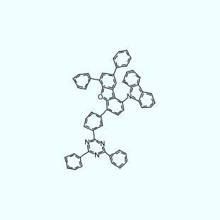 c1ccc(-c2cc(-c3ccccc3)c3oc4c(-c5cccc(-c6nc(-c7ccccc7)nc(-c7ccccc7)n6)c5)ccc(-n5c6ccccc6c6ccccc65)c4c3c2)cc1